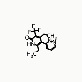 CCc1[nH]c(=O)c(C(F)(F)F)c(CC)c1-c1cccnn1